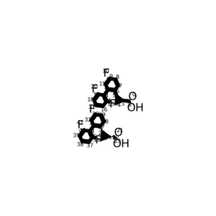 O=C(O)C1CC1c1ccc(F)cc1-c1c(F)cccc1F.O=C(O)[C@@H]1C[C@H]1c1ccc(F)cc1-c1c(F)cccc1F